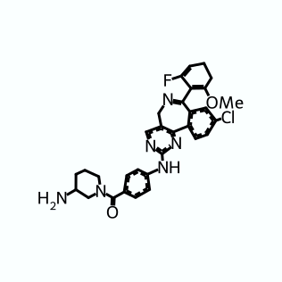 COC1=C(C2=NCc3cnc(Nc4ccc(C(=O)N5CCCC(N)C5)cc4)nc3-c3ccc(Cl)cc32)C(F)=CCC1